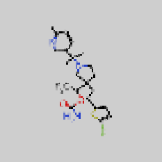 Cc1ccc(C(C)(C)N2CCC(CCc3ccc(F)s3)([C@@H](OC(N)=O)C(F)(F)F)C2)cn1